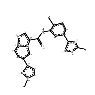 Cc1nc(-c2ccc(C)c(NC(=O)c3cnc4ccc(-c5ccn(C)n5)cn34)c2)no1